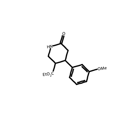 CCOC(=O)C1CNC(=O)CC1c1cccc(OC)c1